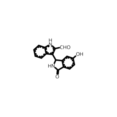 O=Cc1[nH]c2ccccc2c1C1NC(=O)c2ccc(O)cc21